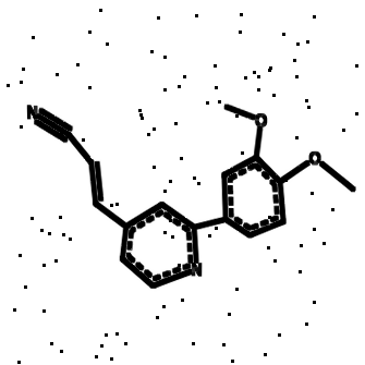 COc1ccc(-c2cc(C=CC#N)ccn2)cc1OC